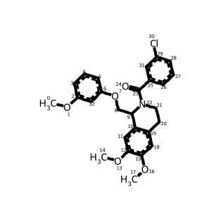 COc1cccc(OCC2c3cc(OC)c(OC)cc3CCN2C(=O)c2cccc(Cl)c2)c1